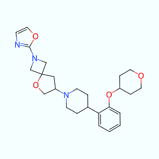 c1ccc(C2CCN(C3COC4(C3)CN(c3ncco3)C4)CC2)c(OC2CCOCC2)c1